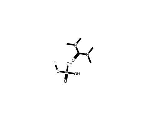 CN(C)C(=O)N(C)C.O=P(O)(O)OF